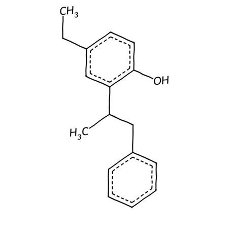 CCc1ccc(O)c(C(C)Cc2ccccc2)c1